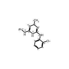 CC1N=C(Nc2ccccc2Cl)NC(NC(C)C)=N1